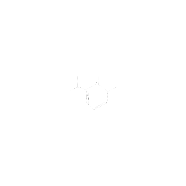 CC1C=CN=C(C(C)C)N1